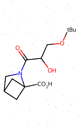 CC(C)(C)OCC(O)C(=O)N1CC2CC1(C(=O)O)C2